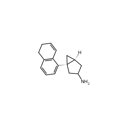 NC1C[C@@H]2C[C@]2(c2cccc3c2C=CCC3)C1